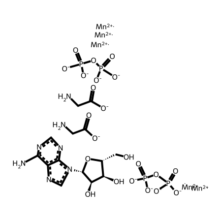 NCC(=O)[O-].NCC(=O)[O-].Nc1ncnc2c1ncn2[C@@H]1O[C@H](CO)[C@@H](O)[C@H]1O.O=P([O-])([O-])OP(=O)([O-])[O-].O=P([O-])([O-])OP(=O)([O-])[O-].[Mn+2].[Mn+2].[Mn+2].[Mn+2].[Mn+2]